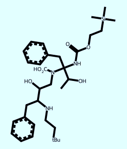 CC(O)C(Cc1ccccc1)(NC(=O)OCC[Si](C)(C)C)N(CC(O)C(Cc1ccccc1)NCCC(C)(C)C)C(=O)O